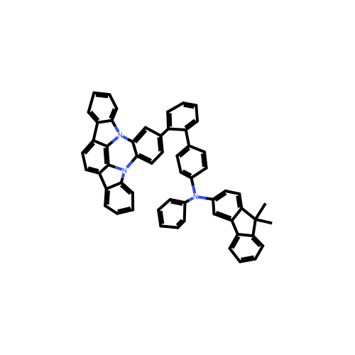 CC1(C)c2ccccc2-c2cc(N(c3ccccc3)c3ccc(-c4ccccc4-c4ccc5c(c4)n4c6ccccc6c6ccc7c8ccccc8n5c7c64)cc3)ccc21